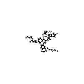 COCCCN1CCOc2ccc(CO[C@H]3CN(S(=O)(=O)c4ccc(C)cc4)[C@H](C[C@H](C)NC(C)=O)C[C@@H]3c3ccc(COCC(C)COC)cc3)cc21